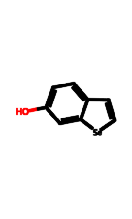 Oc1ccc2cc[se]c2c1